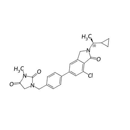 C[C@@H](C1CC1)N1Cc2cc(-c3ccc(CN4CC(=O)N(C)C4=O)cc3)cc(Cl)c2C1=O